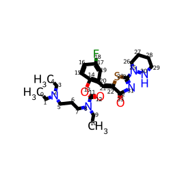 CCN(CC)CCCN(CC)C(=O)Oc1ccc(F)cc1/C=C1\SC(N2CCCCN2)=NC1=O